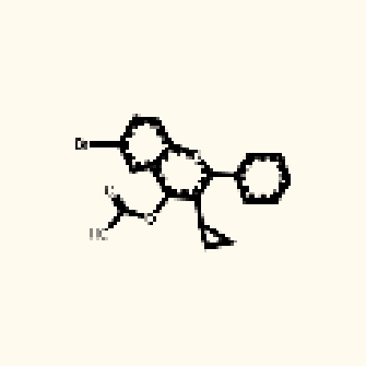 O=C(O)Oc1c(C2CC2)c(-c2ccccc2)nc2ccc(Br)cc12